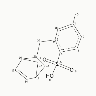 Cc1ccc(S(=O)(=O)O)c(CC2CC3C=CC2C3)c1